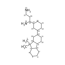 CC1(C)C2CCCCC2C2CCC(C3CCCC(C(N)CCN)C3)CC21